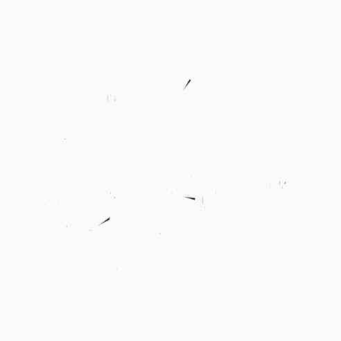 COCCO[C@H]1/C=C/C[C@H](C)CS(=O)(=O)NC(=O)c2ccc3c(c2)N(C[C@@H]2CC[C@H]21)C[C@@]1(CCCc2cc(Cl)ccc21)CO3